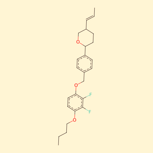 C/C=C/C1CCC(c2ccc(COc3ccc(OCCCC)c(F)c3F)cc2)OC1